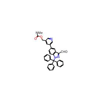 CNC(=O)OCc1cncc(-c2ccc3c(c2)c(C=O)nn3C(c2ccccc2)(c2ccccc2)c2ccccc2)c1